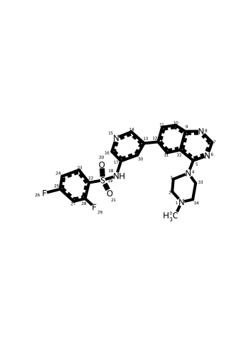 CN1CCN(c2ncnc3ccc(-c4cncc(NS(=O)(=O)c5ccc(F)cc5F)c4)cc23)CC1